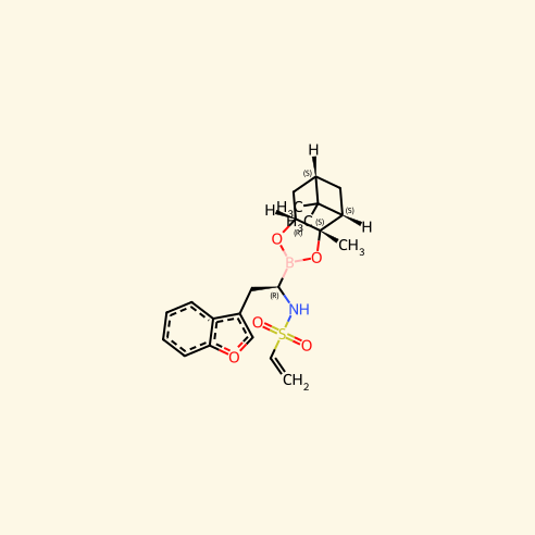 C=CS(=O)(=O)N[C@@H](Cc1coc2ccccc12)B1O[C@@H]2C[C@@H]3C[C@@H](C3(C)C)[C@]2(C)O1